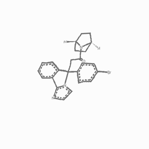 O=C(CC1(c2ccc(Br)cc2)c2ccccc2-c2nccn21)N1[C@H]2CC[C@H]1CC2